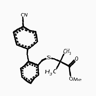 COC(=O)C(C)(C)Sc1ccccc1-c1ccc(C#N)cc1